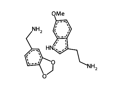 COc1ccc2c(CCN)c[nH]c2c1.NCc1ccc2c(c1)OCO2